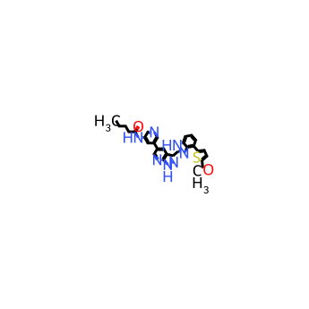 CCCCC(=O)Nc1cncc(-c2cnc3[nH]nc(-c4nc5c(-c6ccc(C(C)=O)s6)cccc5[nH]4)c3c2)c1